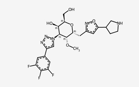 CO[C@@H]1[C@@H](n2cc(-c3cc(F)c(F)c(F)c3)nn2)[C@@H](O)[C@@H](CO)O[C@@H]1Cc1cc(C2CCNC2)on1